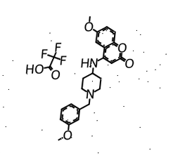 COc1cccc(CN2CCC(Nc3cc(=O)oc4ccc(OC)cc34)CC2)c1.O=C(O)C(F)(F)F